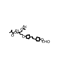 C=C(C)C(=O)OCC(CC)(CCOc1ccc(/C=C/c2ccc(OC=O)cc2)cc1)COC(=C)C(C)=O